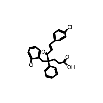 O=C(O)CCC(Cc1ccccc1Cl)(C(=O)C=Cc1ccc(Cl)cc1)c1ccccc1